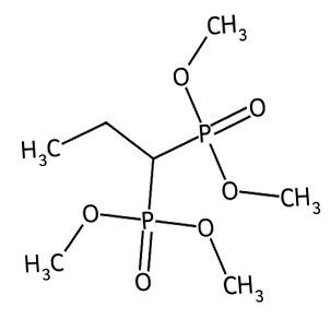 CCC(P(=O)(OC)OC)P(=O)(OC)OC